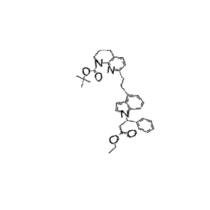 CCOC(=O)CC(c1ccccc1)n1ccc2c(CCc3ccc4c(n3)N(C(=O)OC(C)(C)C)CCC4)cccc21